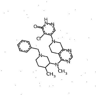 CC1CCN(Cc2ccccc2)CC1N(C)c1ncnc2c1CCN(c1cn[nH]c(=O)c1Cl)C2